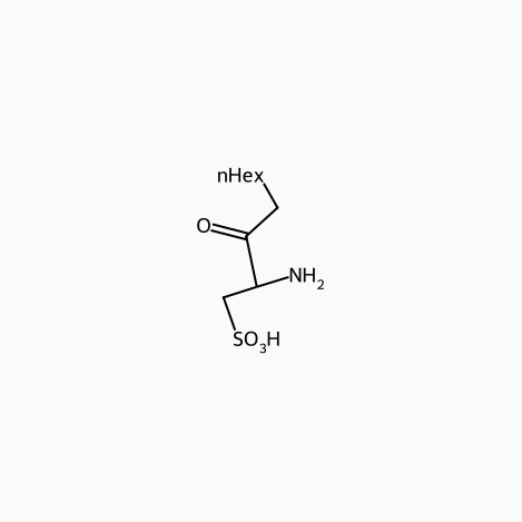 CCCCCCCC(=O)C(N)CS(=O)(=O)O